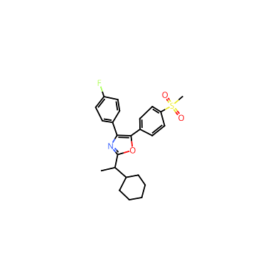 CC(c1nc(-c2ccc(F)cc2)c(-c2ccc(S(C)(=O)=O)cc2)o1)C1CCCCC1